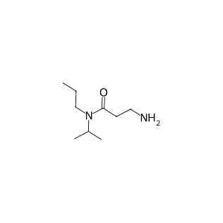 CCCN(C(=O)CCN)C(C)C